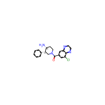 N[C@@H]1CCN(C(=O)c2cc(Cl)c3nccnc3c2)C[C@@H]1c1ccccc1